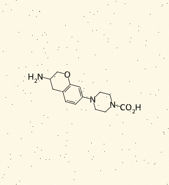 NC1COc2cc(N3CCN(C(=O)O)CC3)ccc2C1